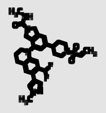 C=CS(=O)(=O)N1CCC(c2cc3c(c(N4CCCc5cc(-c6cnn(C)c6)c(C(F)F)cc54)c2)CN(C(=O)NC)C3)CC1